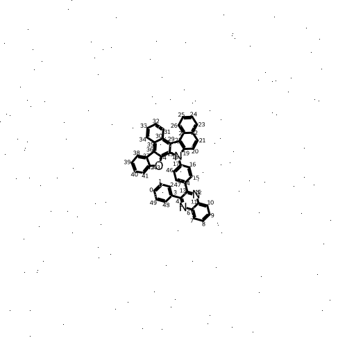 c1ccc(-c2nc3ccccc3nc2-c2ccc(-n3c4ccc5ccccc5c4c4c5ccccc5c5c6ccccc6oc5c43)cc2)cc1